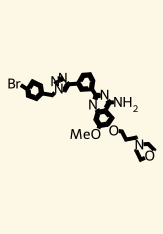 COc1cc2nc(-c3cccc(-c4cn(Cc5ccc(Br)cc5)nn4)c3)nc(N)c2cc1OCCCN1CCOCC1